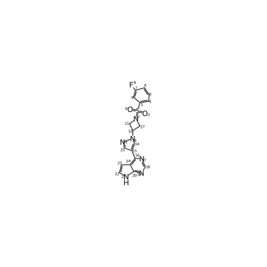 O=S(=O)(c1cccc(F)c1)N1CC(n2cc(-c3ncnc4[nH]ccc34)cn2)C1